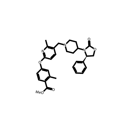 COC(=O)c1ccc(Oc2ccc(CN3CCC(N4C(=O)OC[C@H]4c4ccccc4)CC3)c(C)n2)cc1C